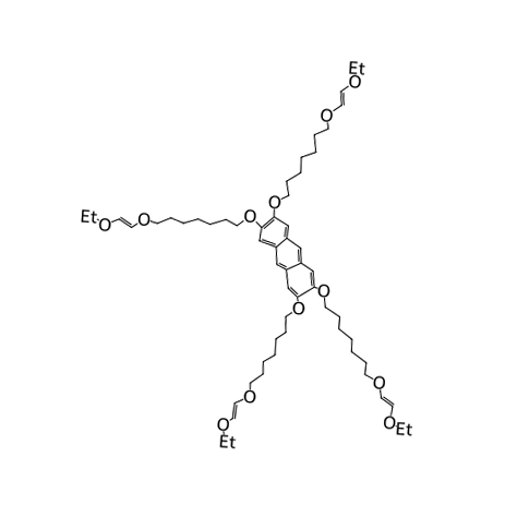 CCOC=COCCCCCCCOc1cc2cc3cc(OCCCCCCCOC=COCC)c(OCCCCCCCOC=COCC)cc3cc2cc1OCCCCCCCOC=COCC